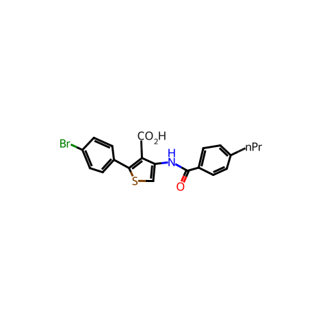 CCCc1ccc(C(=O)Nc2csc(-c3ccc(Br)cc3)c2C(=O)O)cc1